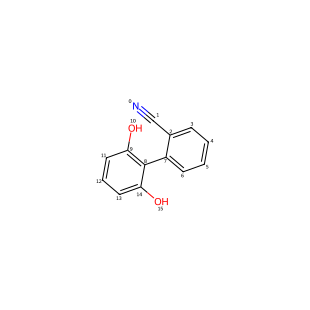 N#Cc1ccccc1-c1c(O)cccc1O